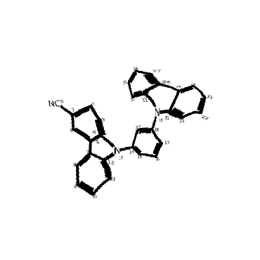 N#Cc1ccc2c(c1)c1ccccc1n2-c1cccc(-n2c3ccccc3c3ccccc32)c1